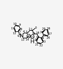 CC(CC1CN(Cc2ccccc2)CCO1)C(O)Cc1ccccc1-c1ccccc1